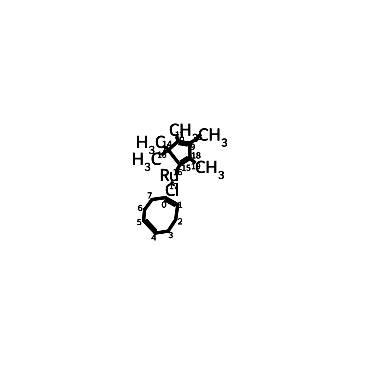 C1=CCCC=CCC1.CC1=C(C)C(C)(C)[C]([Ru][Cl])=C1C